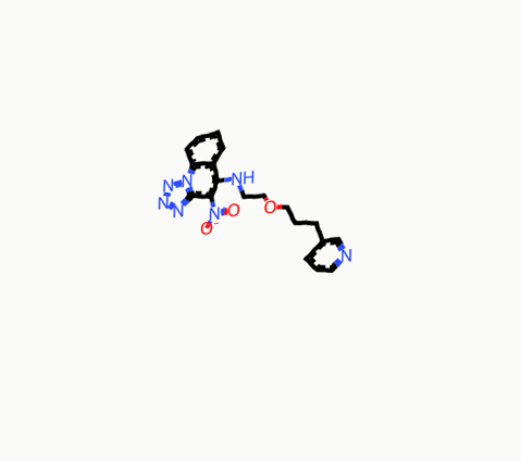 O=[N+]([O-])c1c(NCCOCCCc2cccnc2)c2ccccc2n2nnnc12